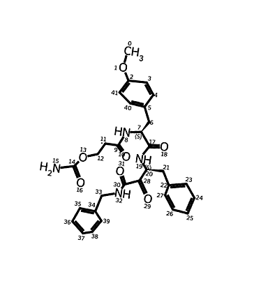 COc1ccc(C[C@H](NC(=O)[CH]COC(N)=O)C(=O)N[C@@H](Cc2ccccc2)C(=O)C(=O)NCc2ccccc2)cc1